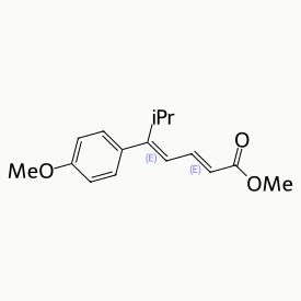 COC(=O)/C=C/C=C(/c1ccc(OC)cc1)C(C)C